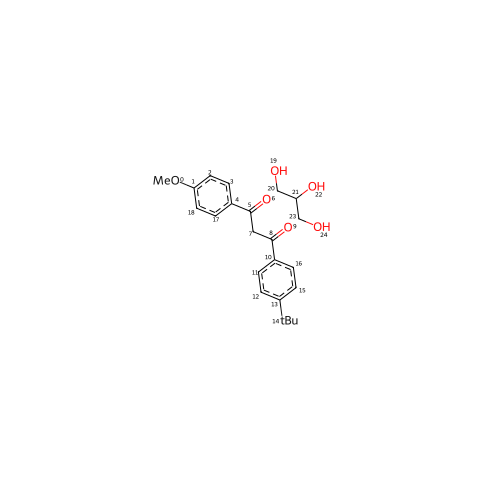 COc1ccc(C(=O)CC(=O)c2ccc(C(C)(C)C)cc2)cc1.OCC(O)CO